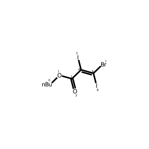 CCCCOC(=O)C(I)=C(Br)I